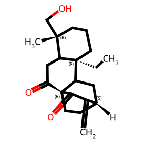 C=C1C(=O)[C@]23CC[C@H]1CC2[C@]1(CC)CCC[C@@](C)(CO)C1CC3=O